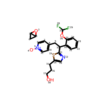 C1C2OC12.[O-][n+]1ccc(CC(c2ncc(CCCO)s2)c2ccccc2OC(F)F)cc1